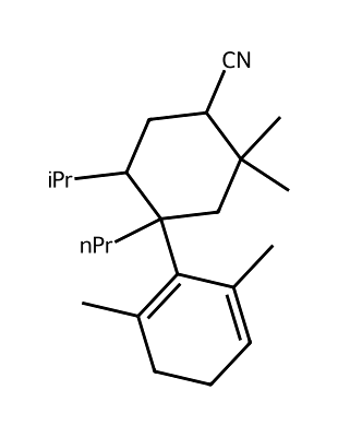 CCCC1(C2=C(C)CCC=C2C)CC(C)(C)C(C#N)CC1C(C)C